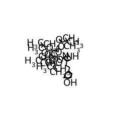 CC(C)(C)C(=O)OC[C@H]1O[C@@H](Oc2n[nH]cc2CCc2ccc(O)cc2)[C@H](OC(=O)C(C)(C)C)[C@@H](OC(=O)C(C)(C)C)[C@@H]1OC(=O)C(C)(C)C